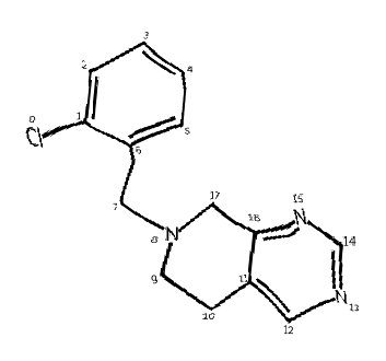 Clc1ccccc1CN1CCc2cncnc2C1